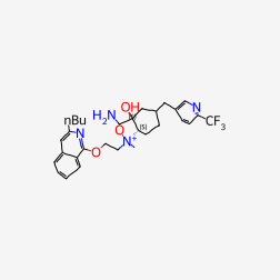 CCCCc1cc2ccccc2c(OCC[N+](C)(C)[C@H]2CCC(Cc3ccc(C(F)(F)F)nc3)C[C@@]2(O)C(N)=O)n1